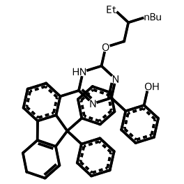 CCCCC(CC)COC1N=C(c2ccccc2O)N=C(c2cccc3c2C(c2ccccc2)(c2ccccc2)C2=C3CCC=C2)N1